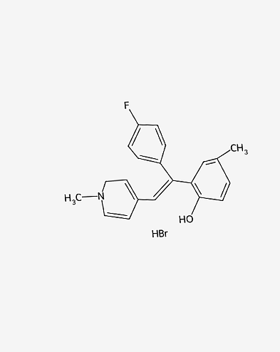 Br.Cc1ccc(O)c(/C(=C/C2=CCN(C)C=C2)c2ccc(F)cc2)c1